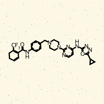 O=C(Nc1ccc(CN2CCN(c3nccc(Nc4nnc(C5CC5)o4)n3)CC2)cc1)C1=C(C(F)(F)F)CCC=C1